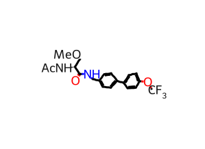 COC[C@@H](NC(C)=O)C(=O)NCc1ccc(-c2ccc(OC(F)(F)F)cc2)cc1